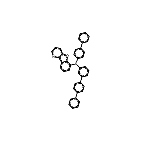 c1ccc(-c2ccc(-c3cccc(N(c4ccc(-c5ccccc5)cc4)c4cccc5c4oc4cccnc45)c3)cc2)cc1